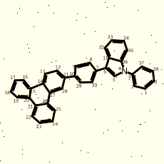 c1ccc(-n2cc(-c3ccc(-c4ccc5c6ccccc6c6ccccc6c5c4)cc3)c3ccccc32)cc1